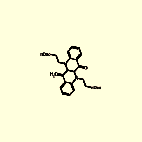 C=C1c2ccccc2N(CCCCCCCCCCCC)C2C(=O)c3ccccc3N(CCCCCCCCCCCC)C12